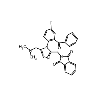 CN(C)Cc1nnc(CN2C(=O)c3ccccc3C2=O)n1-c1ccc(F)cc1C(=O)c1ccccc1